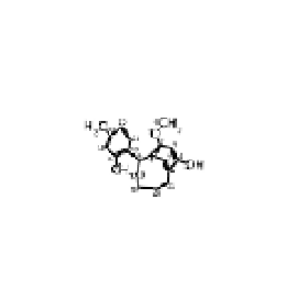 COc1cc(O)c2cc1C(c1ccc(C)cc1C)CCCC2